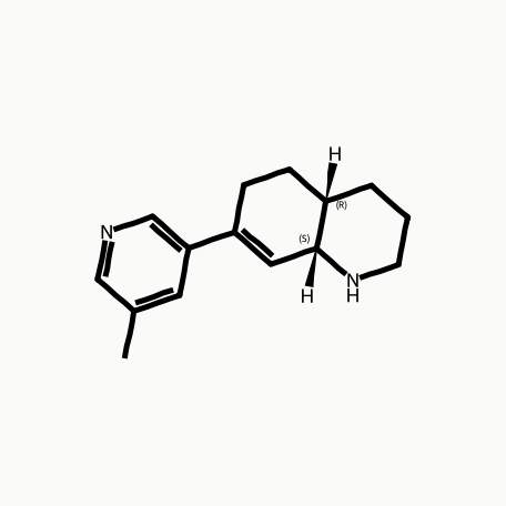 Cc1cncc(C2=C[C@H]3NCCC[C@H]3CC2)c1